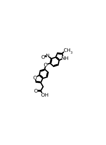 Cc1cc2c(N=O)c(Oc3ccc4c(CC(=O)O)coc4c3)ccc2[nH]1